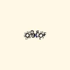 O=C(O/N=C/c1ccc(F)cc1F)c1ccccc1